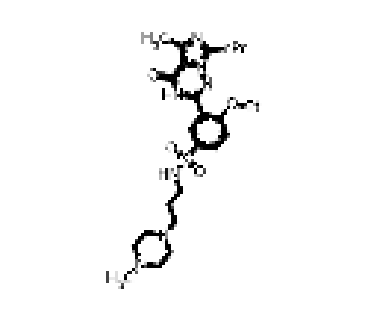 CCCc1nc(C)c2c(=O)[nH]c(-c3cc(S(=O)(=O)NCCCN4CCN(C)CC4)ccc3OCC)nn12